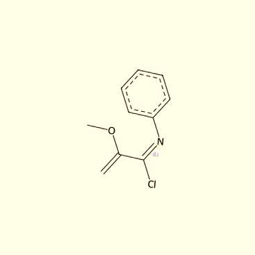 C=C(OC)/C(Cl)=N\c1ccccc1